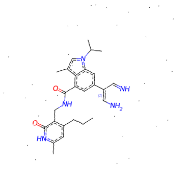 CCCc1cc(C)[nH]c(=O)c1CNC(=O)c1cc(/C(C=N)=C/N)cc2c1c(C)cn2C(C)C